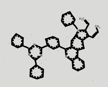 C=Cc1c(/C=C\C)c2cc3c(cc2n1-c1ccccc1)c(-c1cccc(-c2nc(-c4ccccc4)nc(-c4ccccc4)n2)c1)nc1ccccc13